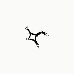 O=S=C1C(=O)NC1Cl